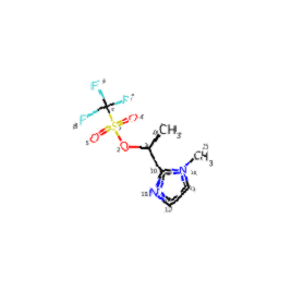 CC(OS(=O)(=O)C(F)(F)F)c1nccn1C